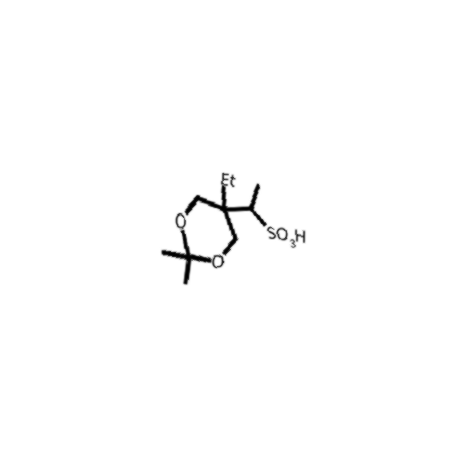 CCC1(C(C)S(=O)(=O)O)COC(C)(C)OC1